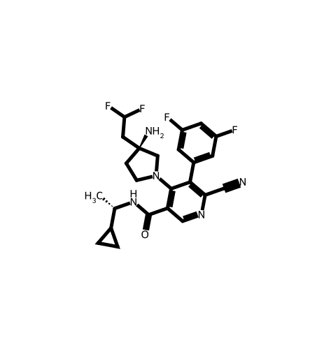 C[C@H](NC(=O)c1cnc(C#N)c(-c2cc(F)cc(F)c2)c1N1CC[C@](N)(CC(F)F)C1)C1CC1